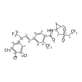 O=C(NC1(CS(=O)(=O)CC(F)(F)F)CC1)c1ccc(/C=C/C(c2cc(Cl)c(Cl)c(Cl)c2)C(F)(F)F)cc1C(F)(F)F